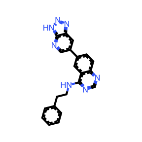 c1ccc(CCNc2ncnc3ccc(-c4cnc5[nH]nnc5c4)cc23)cc1